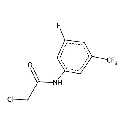 O=C(CCl)Nc1cc(F)cc(C(F)(F)F)c1